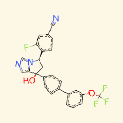 N#Cc1ccc([C@H]2C[C@](O)(c3ccc(-c4cccc(OC(F)(F)F)c4)cc3)c3cncn32)c(F)c1